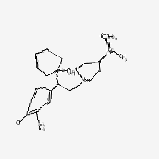 CN(C)C1CCN(CC(c2ccc(Cl)c(Cl)c2)C2(O)CCCCC2)CC1